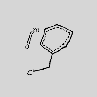 ClCc1ccccc1.[O]=[Zn]